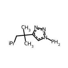 CC(C)CC(C)(C)c1cn(P)nn1